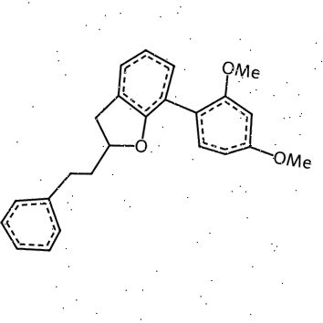 COc1ccc(-c2cccc3c2OC(CCc2ccccc2)C3)c(OC)c1